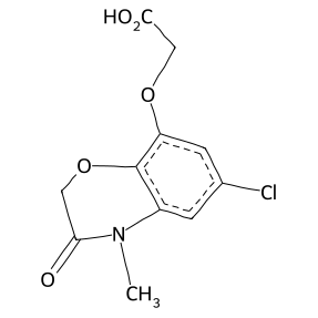 CN1C(=O)COc2c(OCC(=O)O)cc(Cl)cc21